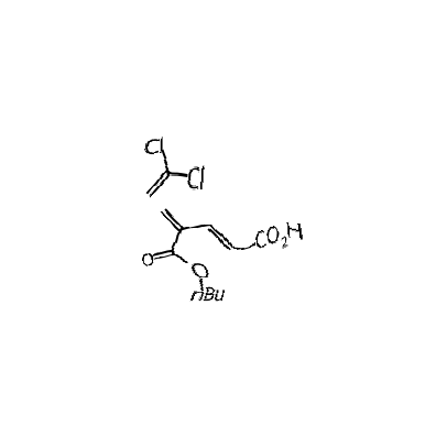 C=C(C=CC(=O)O)C(=O)OCCCC.C=C(Cl)Cl